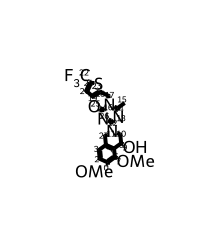 COc1ccc2c(c1OC)C(O)CN(c1nc(C)n(Cc3ccc(C(F)(F)F)s3)c(=O)n1)C2